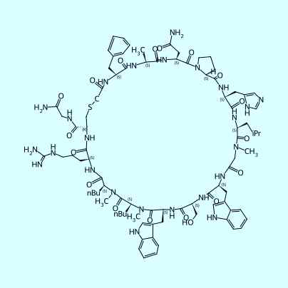 CCCC[C@H]1C(=O)N(C)[C@@H](CCCC)C(=O)N[C@@H](CCCNC(=N)N)C(=O)N[C@H](C(=O)NCC(N)=O)CSCC(=O)N[C@@H](Cc2ccccc2)C(=O)N[C@@H](C)C(=O)N[C@@H](CC(N)=O)C(=O)N2CCC[C@H]2C(=O)N[C@@H](Cc2cnc[nH]2)C(=O)N[C@@H](CC(C)C)C(=O)N(C)CC(=O)N[C@@H](Cc2c[nH]c3ccccc23)C(=O)N[C@@H](CO)C(=O)N[C@@H](Cc2c[nH]c3ccccc23)C(=O)N1C